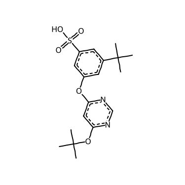 CC(C)(C)Oc1cc(Oc2cc(C(C)(C)C)cc(S(=O)(=O)O)c2)ncn1